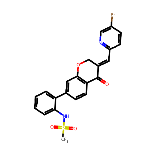 O=C1C(=Cc2ccc(Br)cn2)COc2cc(-c3ccccc3NS(=O)(=O)C(F)(F)F)ccc21